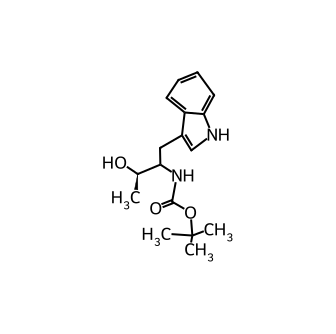 C[C@@H](O)C(Cc1c[nH]c2ccccc12)NC(=O)OC(C)(C)C